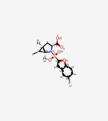 C[C@H]1[C@H]2C[C@@H](C(=O)O)N(S(=O)(=O)c3cc4cc(F)ccc4o3)[C@@H]12